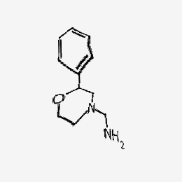 NCN1CCOC(c2ccccc2)C1